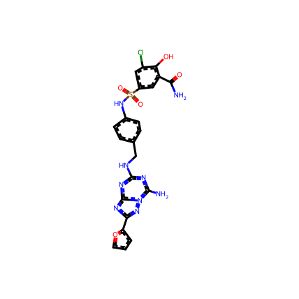 NC(=O)c1cc(S(=O)(=O)Nc2ccc(CNc3nc(N)n4nc(-c5ccco5)nc4n3)cc2)cc(Cl)c1O